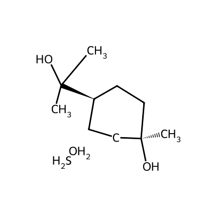 CC(C)(O)[C@H]1CC[C@@](C)(O)CC1.O.S